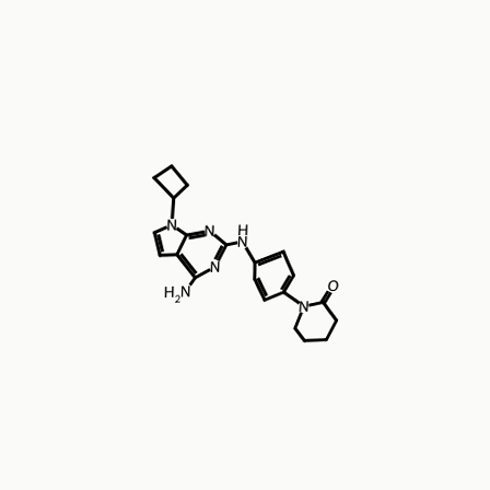 Nc1nc(Nc2ccc(N3CCCCC3=O)cc2)nc2c1ccn2C1CCC1